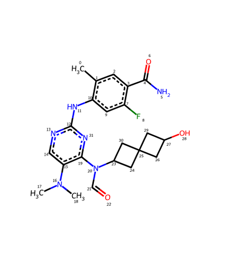 Cc1cc(C(N)=O)c(F)cc1Nc1ncc(N(C)C)c(N(C=O)C2CC3(CC(O)C3)C2)n1